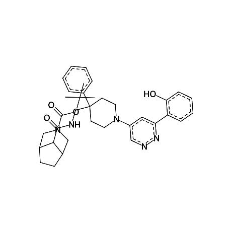 CC(C)(C)OC(=O)N1CC2CCC(C1)C2C(=O)NCC1(c2ccccc2)CCN(c2cnnc(-c3ccccc3O)c2)CC1